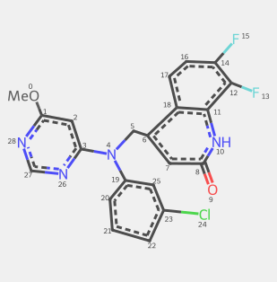 COc1cc(N(Cc2cc(=O)[nH]c3c(F)c(F)ccc23)c2cccc(Cl)c2)ncn1